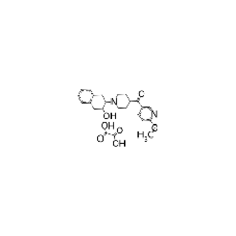 COc1ccc(C(=O)C2CCN(C3Cc4ccccc4CC3O)CC2)cn1.O=C(O)C(=O)O